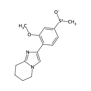 COc1cc([S+](C)[O-])ccc1-c1cn2c(n1)CCCC2